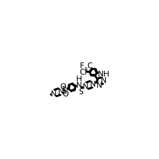 CN1CCN(S(=O)(=O)c2ccc(NC(=S)N3CCN(c4ncnc5[nH]c6cc(C(F)(F)F)c(Cl)cc6c45)CC3)cc2)CC1